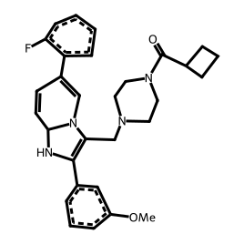 COc1cccc(C2=C(CN3CCN(C(=O)C4CCC4)CC3)N3C=C(c4ccccc4F)C=CC3N2)c1